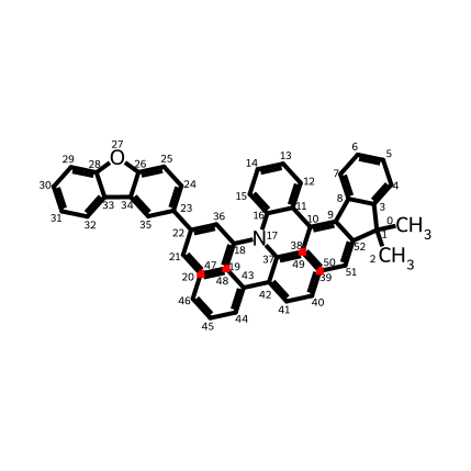 CC1(C)c2ccccc2-c2c(-c3ccccc3N(c3cccc(-c4ccc5oc6ccccc6c5c4)c3)c3ccccc3-c3ccccc3)cccc21